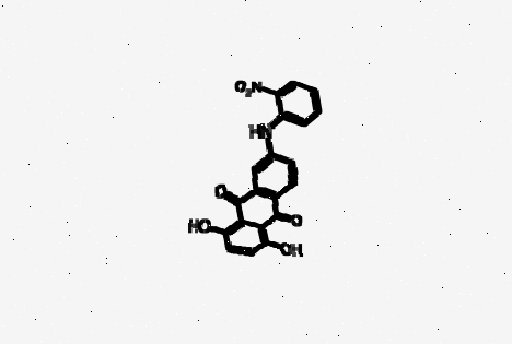 O=C1c2ccc(Nc3ccccc3[N+](=O)[O-])cc2C(=O)c2c(O)ccc(O)c21